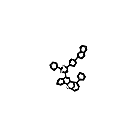 C1=CC2CC(C(c3ccccc3)=C1)C1C=C(c3cc(-c4ccc(-c5ccc6ccccc6c5)cc4)nc(-c4ccccc4)n3)c3ccccc3C1O2